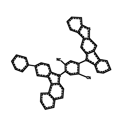 N#Cc1cc(-n2c3ccc(-c4ccccc4)cc3c3c4ccccc4ccc32)c(C#N)cc1-n1c2ccccc2c2cc3sc4ccccc4c3cc21